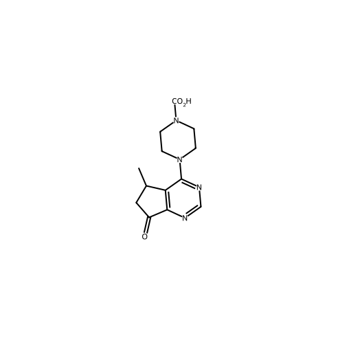 CC1CC(=O)c2ncnc(N3CCN(C(=O)O)CC3)c21